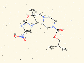 CC(C)COC(=O)N1CCN(CC2(C)Cn3cc([N+](=O)[O-])nc3O2)CC1